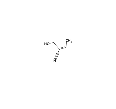 C/C=C(/C#N)CO